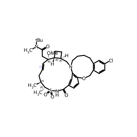 CO[C@@]1(CC(=O)N(C)C(C)(C)C)/C=C/C[C@H](C)[C@@H](C)S(=O)(=O)NC(=O)c2ccc3c(c2)N(CCCCc2cc(Cl)ccc2CO3)C[C@@H]2CC[C@H]21